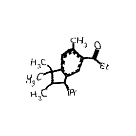 CCC(=O)c1cc2c(cc1C)C(C)(C)C(C)C2C(C)C